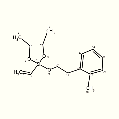 C=C[Si](OCC)(OCC)OCCc1ccccc1C